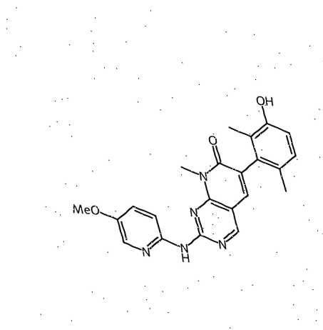 COc1ccc(Nc2ncc3cc(-c4c(C)ccc(O)c4C)c(=O)n(C)c3n2)nc1